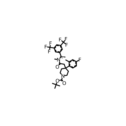 Cc1cc(F)ccc1C1(CC(=O)N(C)[C@H](C)c2cc(C(F)(F)F)cc(C(F)(F)F)c2)CCN(C(=O)OC(C)(C)C)CC1